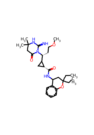 CCC1(CC)CC(NC(=O)[C@@H]2CC2[C@@H](CCOC)N2C(=N)NC(C)(C)CC2=O)c2ccccc2O1